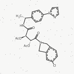 CC(=O)O[C@@H](C(=O)N[C@H](C)c1ccc(-n2cccn2)cc1)[C@@H](OC(C)=O)C(=O)N1Cc2ccc(Cl)cc2C1